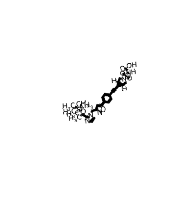 C[C@H](O[Si](C)(C)C(C)(C)C)c1nccn1Cc1cc(-c2ccc(C#CC3[C@H]4CN(S(=O)(=O)NC(=O)O)C[C@@H]34)cc2)on1